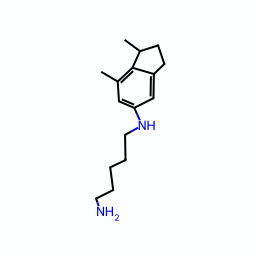 Cc1cc(NCCCCCN)cc2c1C(C)CC2